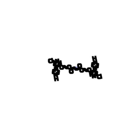 O=C(/C=C/C(=O)OCCOc1nnc(Cl)cc1N1CCNCC1)OCCOc1nnc(Cl)cc1N1CCNCC1